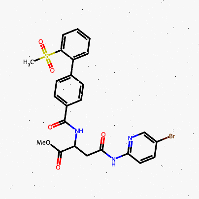 COC(=O)C(CC(=O)Nc1ccc(Br)cn1)NC(=O)c1ccc(-c2ccccc2S(C)(=O)=O)cc1